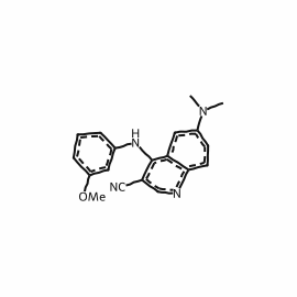 COc1cccc(Nc2c(C#N)cnc3ccc(N(C)C)cc23)c1